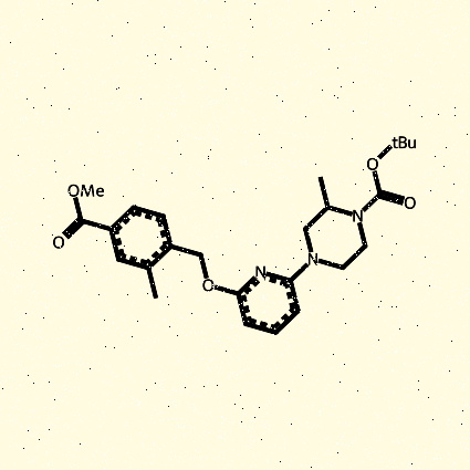 COC(=O)c1ccc(COc2cccc(N3CCN(C(=O)OC(C)(C)C)C(C)C3)n2)c(C)c1